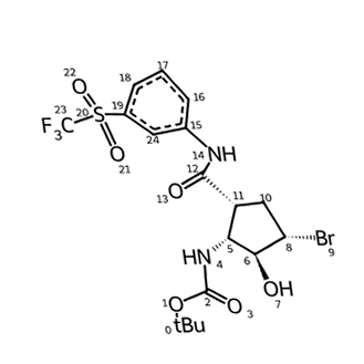 CC(C)(C)OC(=O)N[C@H]1[C@H](O)[C@@H](Br)C[C@H]1C(=O)Nc1cccc(S(=O)(=O)C(F)(F)F)c1